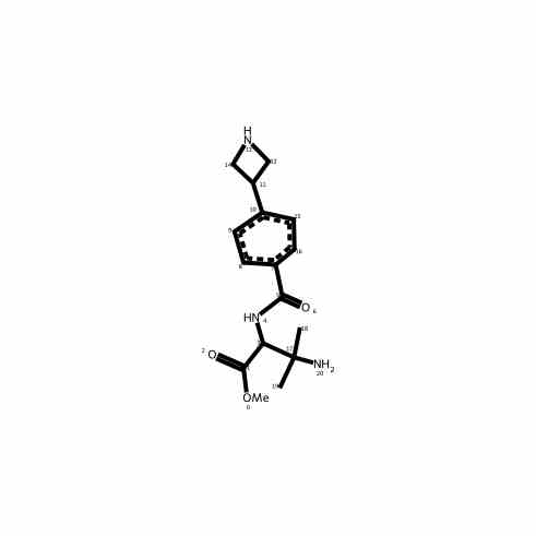 COC(=O)C(NC(=O)c1ccc(C2CNC2)cc1)C(C)(C)N